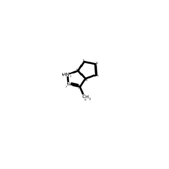 CC1=NNC2CCCC12